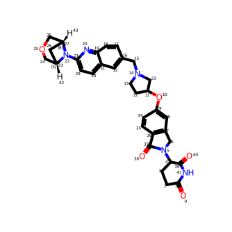 O=C1CCC(N2Cc3cc(OC4CCN(Cc5ccc6nc(N7[C@@H]8COC[C@H]7C8)ccc6c5)C4)ccc3C2=O)C(=O)N1